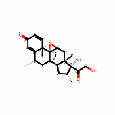 C[C@@H]1CC2C3C[C@H](F)C4=CC(=O)C=C[C@]4(C)[C@@]34O[C@H]4C[C@]2(C)[C@@]1(O)C(=O)CO